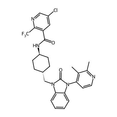 Cc1nccc(-n2c(=O)n(C[C@H]3CC[C@H](NC(=O)c4cc(Cl)cnc4C(F)(F)F)CC3)c3ccccc32)c1C